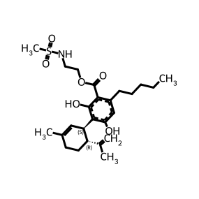 C=C(C)[C@@H]1CCC(C)=C[C@H]1c1c(O)cc(CCCCC)c(C(=O)OCCNS(C)(=O)=O)c1O